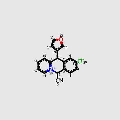 N#CC1c2ccccc2C(c2ccoc2)c2cccc[n+]21.[Cl-]